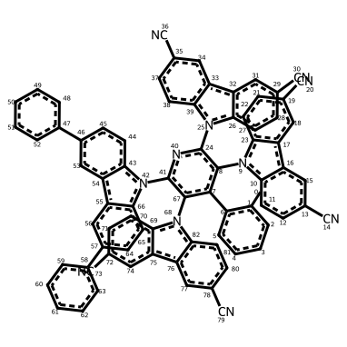 Cc1ccccc1-c1c(-n2c3ccc(C#N)cc3c3cc(C#N)ccc32)c(-n2c3ccc(C#N)cc3c3cc(C#N)ccc32)nc(-n2c3ccc(-c4ccccc4)cc3c3cc(-c4ccccc4)ccc32)c1-n1c2ccc(C#N)cc2c2cc(C#N)ccc21